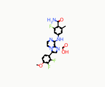 COc1ccc(-c2cnc3c(Nc4cc(C)c(C(N)=O)c(F)c4)nccn23)c(F)c1F.O=CO